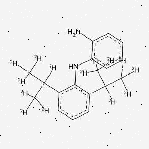 [2H]C([2H])([2H])C([2H])(c1cccc(C([2H])(C([2H])([2H])[2H])C([2H])([2H])[2H])c1Nc1ccccc1N)C([2H])([2H])[2H]